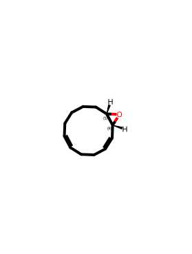 C1=CCCCC[C@@H]2O[C@@H]2C=CCC1